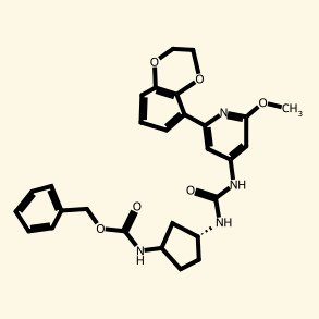 COc1cc(NC(=O)N[C@@H]2CCC(NC(=O)OCc3ccccc3)C2)cc(-c2cccc3c2OCCO3)n1